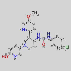 COc1ccc(C2CN(c3ccc(O)nc3)CCC2NC(=O)Nc2ccc(Cl)cc2)nc1